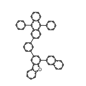 c1ccc(-c2c3ccccc3c(-c3ccccc3)c3cc(-c4cccc(-c5cc(-c6ccc7ccccc7c6)c6oc7ccccc7c6c5)c4)ccc23)cc1